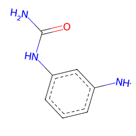 [NH]c1cccc(NC(N)=O)c1